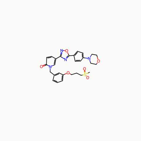 CS(=O)(=O)CCCOc1cccc(Cn2cc(-c3noc(-c4ccc(N5CCOCC5)cc4)n3)ccc2=O)c1